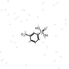 O=[N+]([O-])c1[c]c([As](=O)(O)O)ccc1